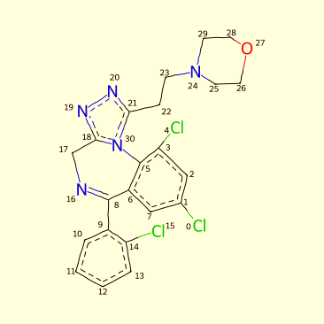 Clc1cc(Cl)c2c(c1)C(c1ccccc1Cl)=NCc1nnc(CCN3CCOCC3)n1-2